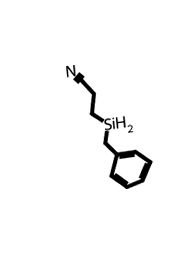 N#CCC[SiH2]Cc1ccccc1